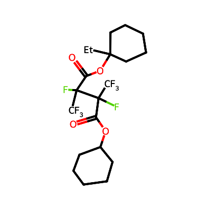 CCC1(OC(=O)C(F)(C(F)(F)F)C(F)(C(=O)OC2CCCCC2)C(F)(F)F)CCCCC1